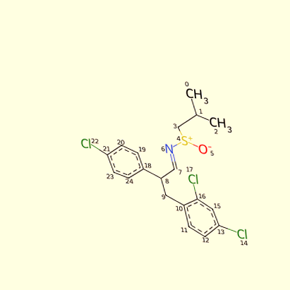 CC(C)C[S+]([O-])N=CC(Cc1ccc(Cl)cc1Cl)c1ccc(Cl)cc1